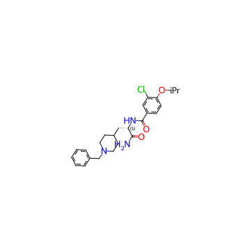 CC(C)Oc1ccc(C(=O)N[C@@H](CC2CCN(Cc3ccccc3)CC2)C(N)=O)cc1Cl